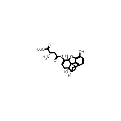 CC(C)COC(=O)[C@@H](N)CC(=O)OC1=CC[C@@]2(O)[C@@H]3CCC[C@@]24c2c(ccc(O)c2O[C@@H]14)C3